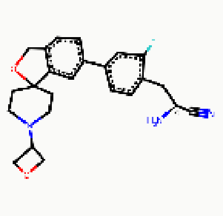 N#C[C@@H](N)Cc1ccc(-c2ccc3c(c2)C2(CCN(C4COC4)CC2)OC3)cc1F